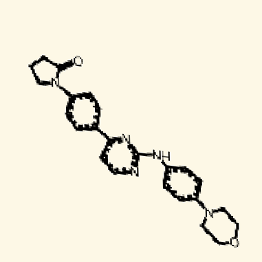 O=C1CCCN1c1ccc(-c2ccnc(Nc3ccc(N4CCOCC4)cc3)n2)cc1